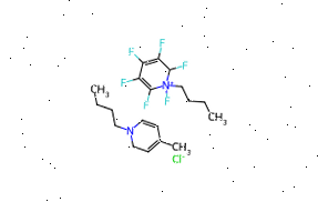 CCCCN1C=CC(C)=CC1.CCCC[N+]1(F)C(F)=C(F)C(F)=C(F)C1F.[Cl-]